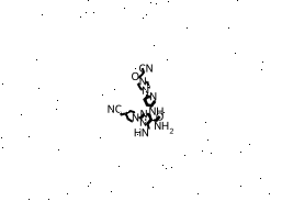 N#CCC(=O)N1CCN(c2ccc(Nc3nc(N4CCC(CC#N)CC4)nc(C=N)c3C(N)=O)cn2)CC1